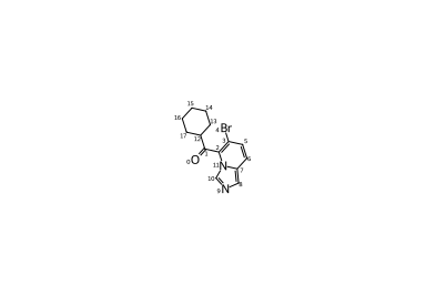 O=C(c1c(Br)ccc2cncn12)C1CCCCC1